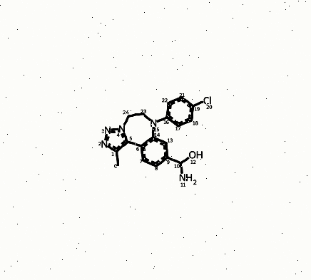 Cc1nnn2c1-c1ccc(C(N)O)cc1N(c1ccc(Cl)cc1)CC2